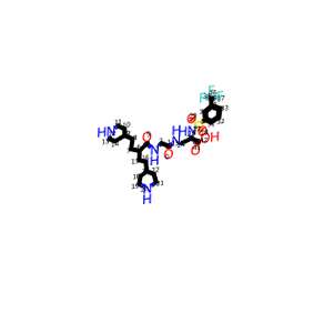 O=C(CNC(=O)C(CCC1CCNCC1)CCC1CCNCC1)NCC(NS(=O)(=O)c1cccc(C(F)(F)F)c1)C(=O)O